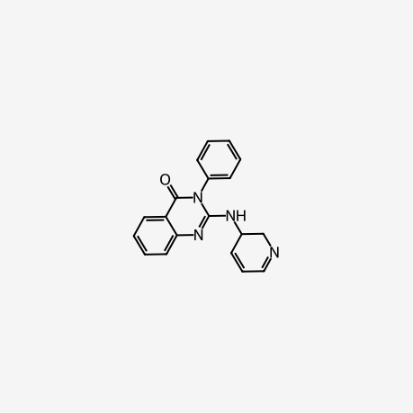 O=c1c2ccccc2nc(NC2C=CC=NC2)n1-c1ccccc1